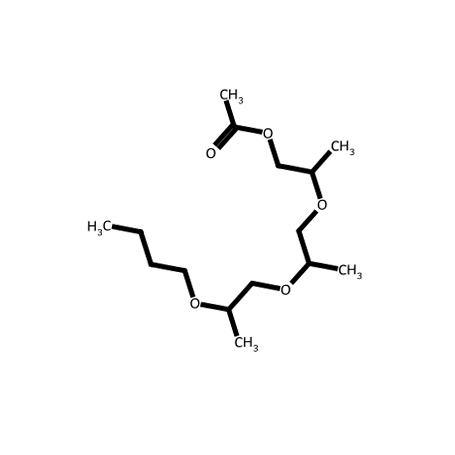 CCCCOC(C)COC(C)COC(C)COC(C)=O